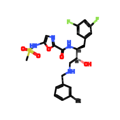 CCc1cccc(CNC[C@@H](O)[C@H](Cc2cc(F)cc(F)c2)NC(=O)c2ncc(NS(C)(=O)=O)o2)c1